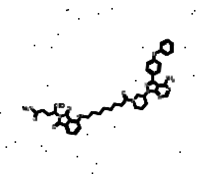 CNC(=O)CCC(C=O)N1C(=O)c2cccc(NCCCCCCCC(=O)N3CCCC(n4nc(-c5ccc(Oc6ccccc6)cc5)c5c(N)ncnc54)C3)c2C1=O